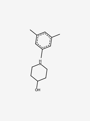 Cc1cc(C)cc(C)c1.OC1CCNCC1